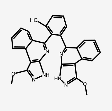 COc1n[nH]c2nc(-c3cccc(O)c3-c3nc4[nH]nc(OC)c4c4ccccc34)c3ccccc3c12